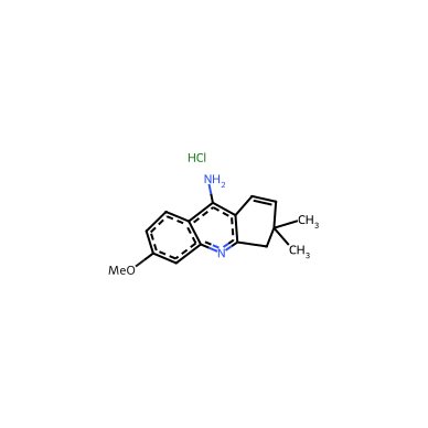 COc1ccc2c(N)c3c(nc2c1)CC(C)(C)C=C3.Cl